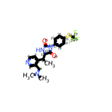 CC(c1ccncc1CN(C)C)C1NC(=O)N(c2ccc(SC(F)(F)F)cc2)C1=O